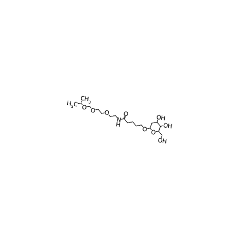 CC(C)OCOCCOCCNC(=O)CCCCOC1CC(O)C(O)C(CO)O1